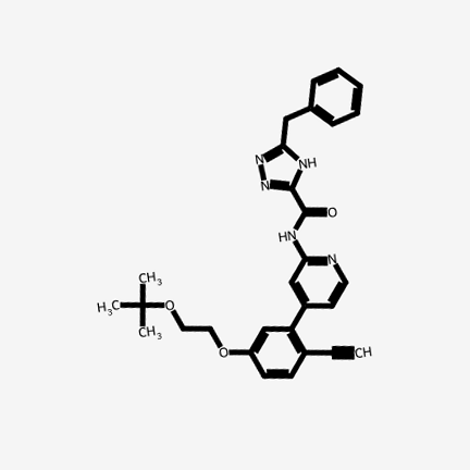 C#Cc1ccc(OCCOC(C)(C)C)cc1-c1ccnc(NC(=O)c2nnc(Cc3ccccc3)[nH]2)c1